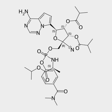 CC(C)OC(=O)[C@H](C)NP(=O)(OC[C@@]1(C#N)O[C@@H](c2ccc3c(N)ncnn23)[C@H](OC(=O)C(C)C)[C@@H]1OC(=O)C(C)C)Oc1ccc(C(=O)N(C)C)cc1